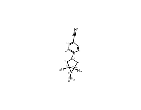 N#Cc1ccc(N2C[C@@H]3[C@@H](N)[C@@H]3C2)nc1